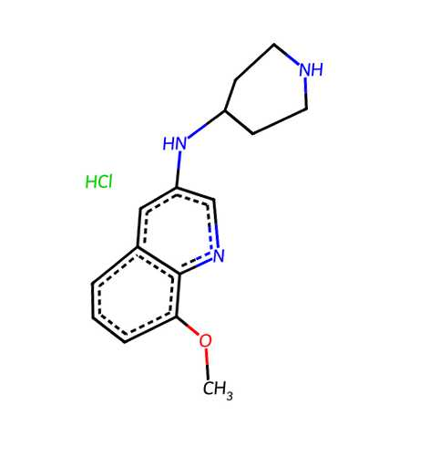 COc1cccc2cc(NC3CCNCC3)cnc12.Cl